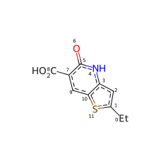 CCc1cc2[nH]c(=O)c(C(=O)O)cc2s1